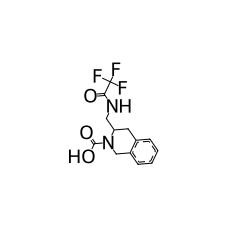 O=C(O)N1Cc2ccccc2CC1CNC(=O)C(F)(F)F